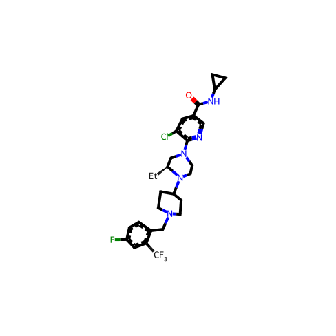 CC[C@H]1CN(c2ncc(C(=O)NC3CC3)cc2Cl)CCN1C1CCN(Cc2ccc(F)cc2C(F)(F)F)CC1